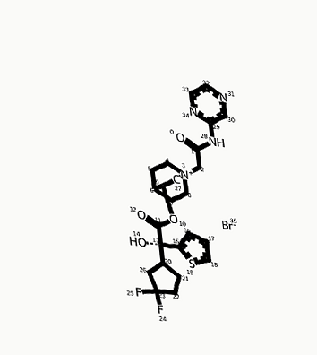 O=C(C[N+]12CCC(CC1)C(OC(=O)[C@@](O)(c1cccs1)C1CCC(F)(F)C1)C2)Nc1cnccn1.[Br-]